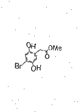 COC(=O)Cc1cc(O)c(Br)cc1O